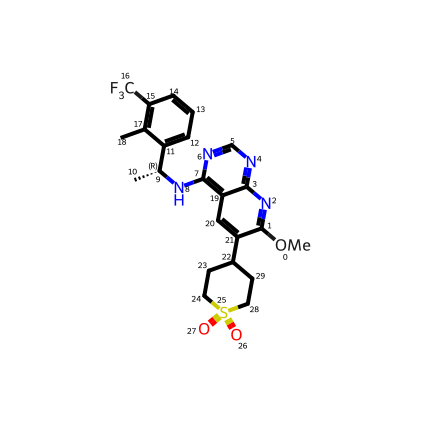 COc1nc2ncnc(N[C@H](C)c3cccc(C(F)(F)F)c3C)c2cc1C1CCS(=O)(=O)CC1